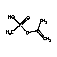 C=C(C)OP(C)(=O)O